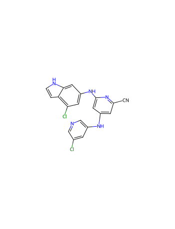 N#Cc1cc(Nc2cncc(Cl)c2)cc(Nc2cc(Cl)c3cc[nH]c3c2)n1